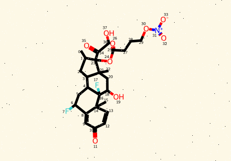 CC1CC2C3CC(F)C4=CC(=O)C=CC4(C)C3(F)C(O)CC2(C)C1(OC(=O)CCCO[N+](=O)[O-])C(=O)CO